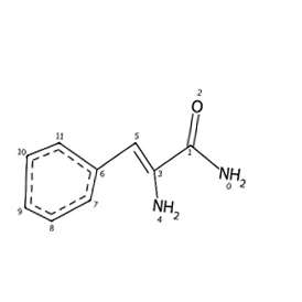 NC(=O)C(N)=Cc1ccccc1